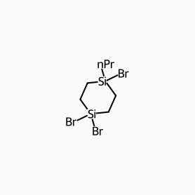 CCC[Si]1(Br)CC[Si](Br)(Br)CC1